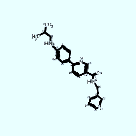 CC(C)CNc1ccc(-c2ccc(C(=O)NCc3cccnc3)cn2)cc1